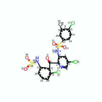 O=C(c1ncc(Cl)cc1NS(=O)(=O)c1ccc(Cl)c(C(F)(F)F)c1)c1c(Cl)cccc1N[SH](=O)=O